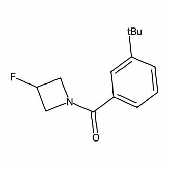 CC(C)(C)c1cccc(C(=O)N2CC(F)C2)c1